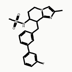 Cc1cn2c(n1)C(Cc1cccc(-c3cccc(F)c3)c1)C(NS(C)(=O)=O)CC2